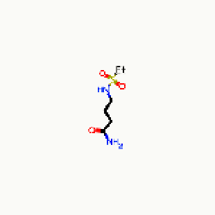 CCS(=O)(=O)NCCCC(N)=O